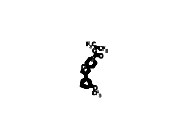 O=C(OC(C(F)(F)F)C(F)(F)F)N1CCC2(CC1)CC(c1cccc(OC(F)(F)F)c1)CO2